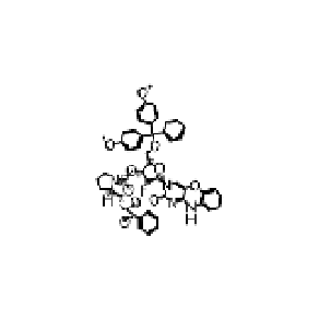 COc1ccc(C(OC[C@H]2O[C@@H](n3cc4c(nc3=O)Nc3ccccc3O4)[C@H](F)[C@@H]2O[P@@]2O[C@H](CS(=O)(=O)c3ccccc3)[C@@H]3CCCN32)(c2ccccc2)c2ccc(OC)cc2)cc1